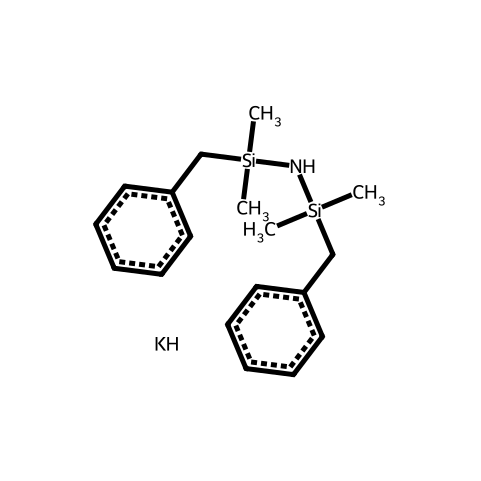 C[Si](C)(Cc1ccccc1)N[Si](C)(C)Cc1ccccc1.[KH]